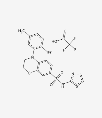 Cc1ccc(C(C)C)c(N2CCOc3cc(S(=O)(=O)Nc4nccs4)ccc32)c1.O=C(O)C(F)(F)F